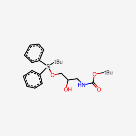 CC(C)(C)OC(=O)NCC(O)CO[Si](c1ccccc1)(c1ccccc1)C(C)(C)C